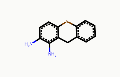 Nc1ccc2c(c1N)Cc1ccccc1S2